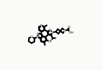 Cc1cc2c(cnn2C2CCCCO2)c(-c2c(-c3cccnc3C)nn(C3CC4(C3)CN(C(=O)O)C4)c2C(F)F)c1Cl